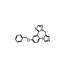 c1ccc(COc2ccc3c(c2)-c2ncnn2Cc2cncn2-3)cc1